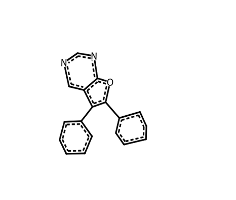 c1ccc(-c2oc3ncncc3c2-c2ccccc2)cc1